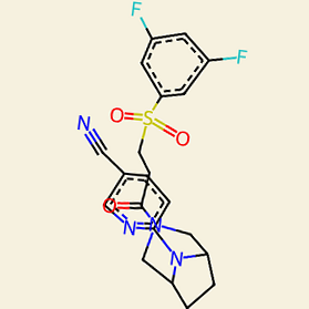 N#Cc1ccc(N2C3CCC2CN(C(=O)CCS(=O)(=O)c2cc(F)cc(F)c2)C3)nc1